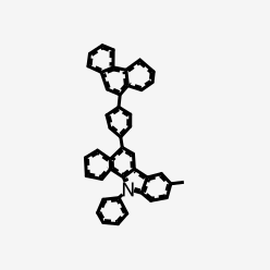 Cc1ccc2c(c1)c1cc(-c3ccc(-c4cc5ccccc5c5ccccc45)cc3)c3ccccc3c1n2-c1ccccc1